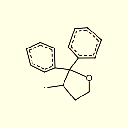 [CH2]C1CCOC1(c1ccccc1)c1ccccc1